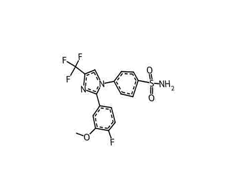 COc1cc(-c2nc(C(F)(F)F)cn2-c2ccc(S(N)(=O)=O)cc2)ccc1F